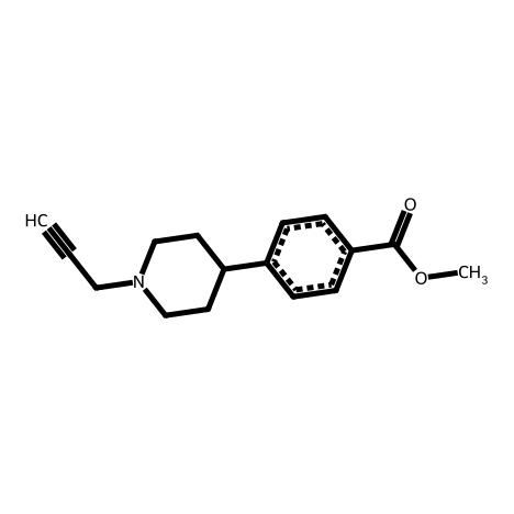 C#CCN1CCC(c2ccc(C(=O)OC)cc2)CC1